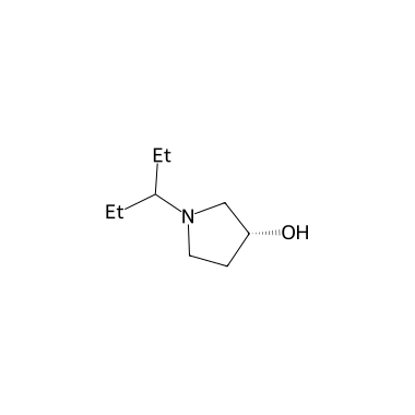 CCC(CC)N1CC[C@@H](O)C1